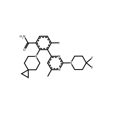 Cc1cc(-c2c(I)ccc(C(N)=O)c2N2CCC3(CC2)CC3)nc(N2CCC(F)(F)CC2)n1